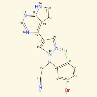 N#CCC(c1cc(Br)ccc1F)n1cc(-c2ncnc3[nH]ccc23)cn1